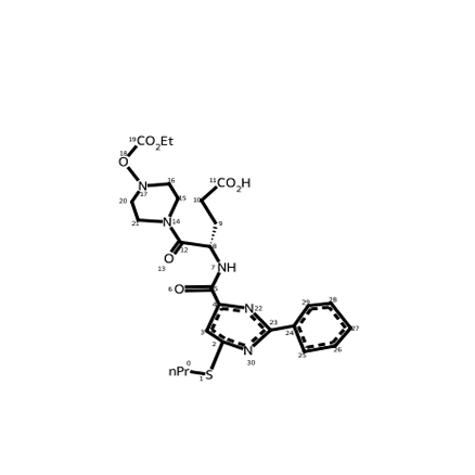 CCCSc1cc(C(=O)N[C@@H](CCC(=O)O)C(=O)N2CCN(OC(=O)OCC)CC2)nc(-c2ccccc2)n1